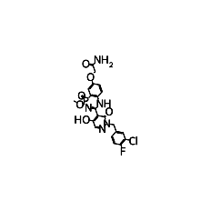 COP1(=O)N=C(c2c(O)cnn(Cc3ccc(F)c(Cl)c3)c2=O)Nc2ccc(OCC(N)=O)cc21